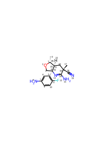 C[C@H]1OC[C@]2(c3cc(N)ccc3F)N=C(N)[C@@](C)(C#N)C[C@H]12